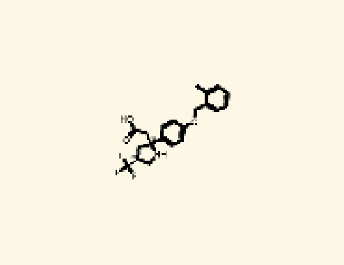 Cc1ccccc1COc1ccc([C@@]2(CC(=O)O)C[C@H](C(F)(F)F)CN2)cc1